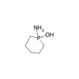 N[P+]1(O)CCCCC1